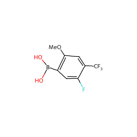 COc1cc(C(F)(F)F)c(F)cc1B(O)O